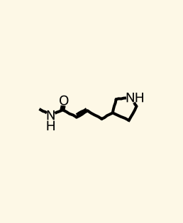 CNC(=O)/C=C/CC1CCNC1